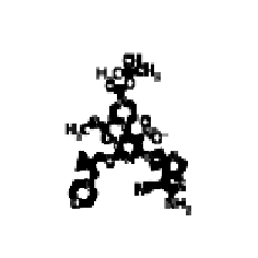 COC(=O)[C@H]1CN(C(=O)OC(C)(C)C)CCN1c1nc(OCC2(CN3CCOCC3)CC2)nc(N2CC3(C2)SCc2sc(N)c(C#N)c23)c1[N+](=O)[O-]